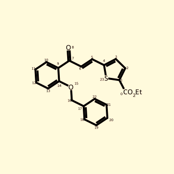 CCOC(=O)c1ccc(C=CC(=O)c2ccccc2OCc2ccccc2)s1